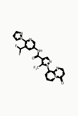 O=C(Nc1cnc(-n2cccn2)c(C(F)F)c1)c1cnn(-c2cccn3c(=O)ccnc23)c1C(F)(F)F